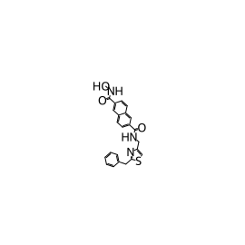 O=C(NO)c1ccc2cc(C(=O)NCc3csc(Cc4ccccc4)n3)ccc2c1